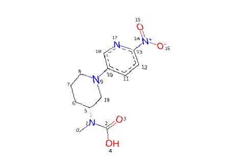 CN(C(=O)O)[C@@H]1CCCN(c2ccc([N+](=O)[O-])nc2)C1